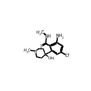 CNC(=O)c1c(N)cc(Cl)cc1C1(O)CCN(C)CC1